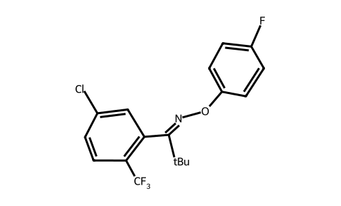 CC(C)(C)/C(=N\Oc1ccc(F)cc1)c1cc(Cl)ccc1C(F)(F)F